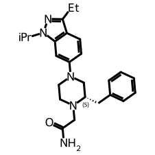 CCc1nn(C(C)C)c2cc(N3CCN(CC(N)=O)[C@@H](Cc4ccccc4)C3)ccc12